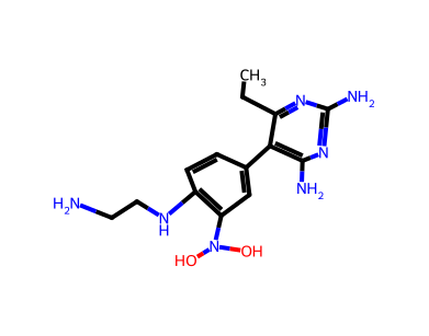 CCc1nc(N)nc(N)c1-c1ccc(NCCN)c(N(O)O)c1